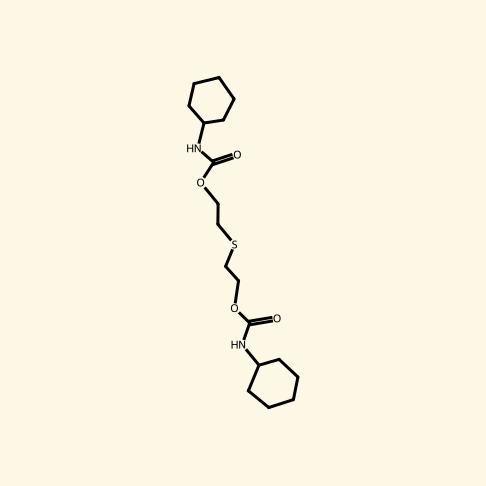 O=C(NC1CCCCC1)OCCSCCOC(=O)NC1CCCCC1